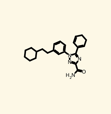 NC(=O)c1nc(C2=CCCC=C2)n(-c2cccc(CCC3CCCCC3)c2)n1